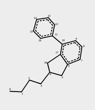 CCCCC1Cc2cccc(-c3ccccc3)c2C1